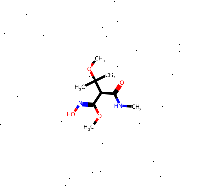 CNC(=O)C(C(=NO)OC)C(C)(C)OC